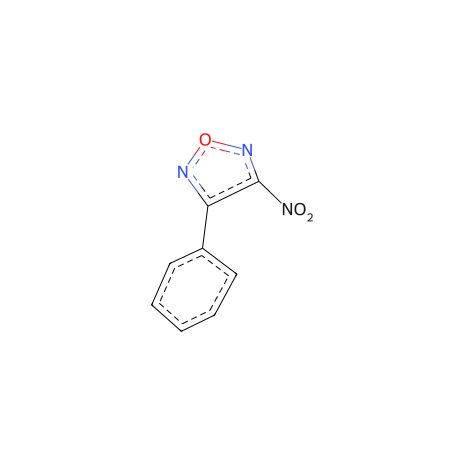 O=[N+]([O-])c1nonc1-c1ccccc1